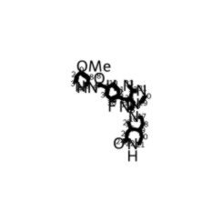 COc1ccnc(NC(=O)c2ccc(-c3nc(N4CCC5CCNC(=O)CC5C4)n4ccnc(N)c34)c(F)c2)c1